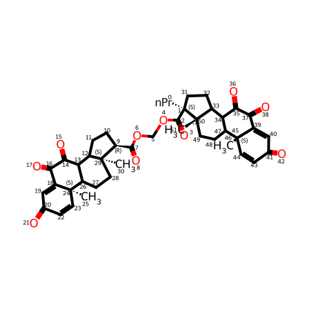 CCC[C@]1(C(=O)OCOC(=O)[C@@H]2CCC3C4C(=O)C(=O)C5=CC(=O)C=C[C@]5(C)C4CC[C@@]32C)CCC2C3C(=O)C(=O)C4=CC(=O)C=C[C@]4(C)C3CC[C@@]21C